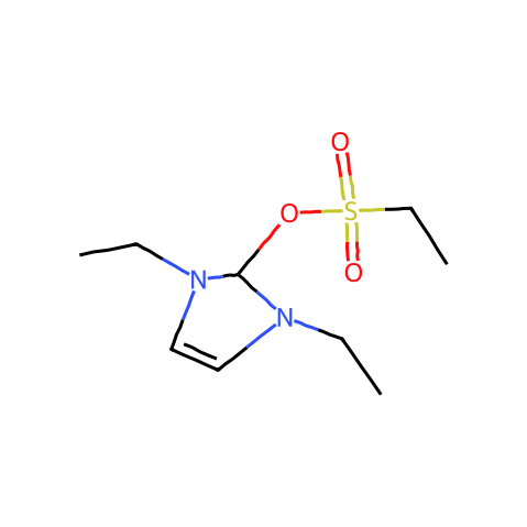 CCN1C=CN(CC)C1OS(=O)(=O)CC